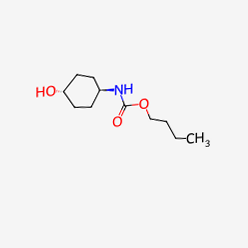 CCCCOC(=O)N[C@H]1CC[C@H](O)CC1